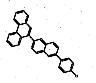 Clc1ccc(-c2ccc3cc(-c4cc5ccccc5c5ccccc45)ccc3c2)cc1